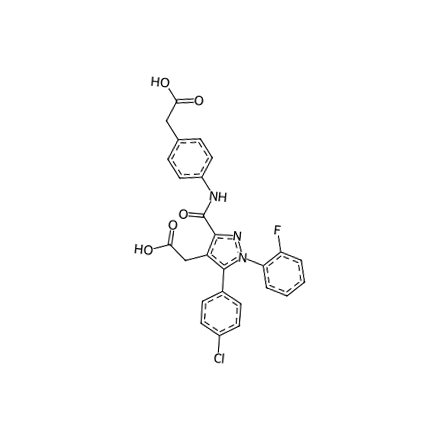 O=C(O)Cc1ccc(NC(=O)c2nn(-c3ccccc3F)c(-c3ccc(Cl)cc3)c2CC(=O)O)cc1